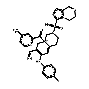 N=CC1=C(Nc2ccc(F)cc2)C=C2CCN(S(=N)(=O)c3ncc4n3CCOC4)C[C@@]2(C(=O)c2cc(C(F)(F)F)ccn2)C1